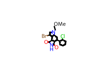 COCCn1cc(Br)c2c3c(c(-c4ccccc4Cl)cc21)C(=O)NC3=O